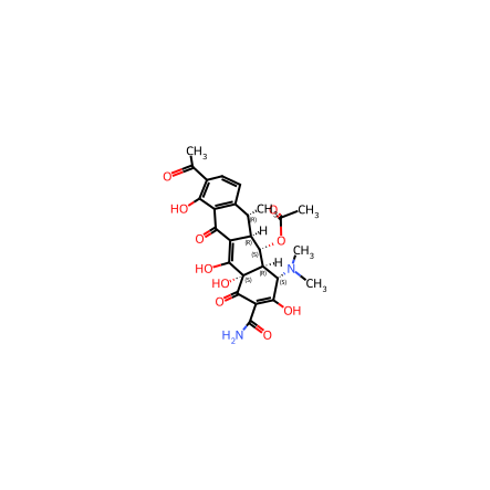 CC(=O)O[C@H]1[C@H]2C(=C(O)[C@]3(O)C(=O)C(C(N)=O)=C(O)[C@@H](N(C)C)[C@H]13)C(=O)c1c(ccc(C(C)=O)c1O)[C@@H]2C